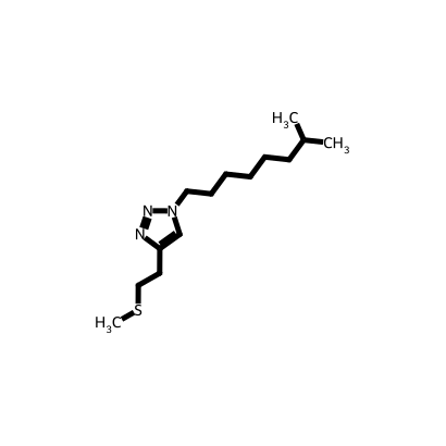 CSCCc1cn(CCCCCCC(C)C)nn1